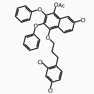 CC(=O)Oc1c(Oc2ccccc2)c(Oc2ccccc2)c(OCCCc2ccc(Cl)cc2Cl)c2ccc(Cl)cc12